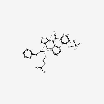 O=C(O)CCCN(CCc1ccccc1)[C@H]1c2ccccc2N(C(=O)c2ccc(OC(F)(F)F)cc2)[C@@H]2CCC[C@@H]21